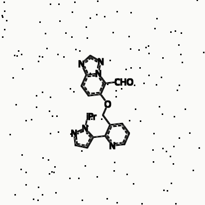 CC(C)n1nccc1-c1ncccc1COc1ccc2ncnn2c1C=O